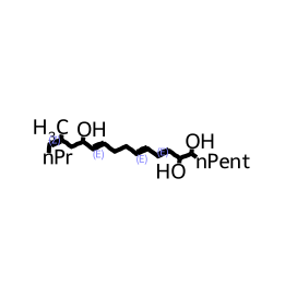 CCC/C=C(/C)CC(O)/C=C/CC/C=C/C=C/C(O)C(O)CCCCC